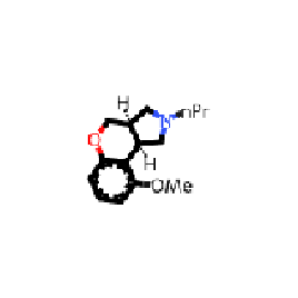 [CH2]CCN1C[C@@H]2COc3cccc(OC)c3[C@@H]2C1